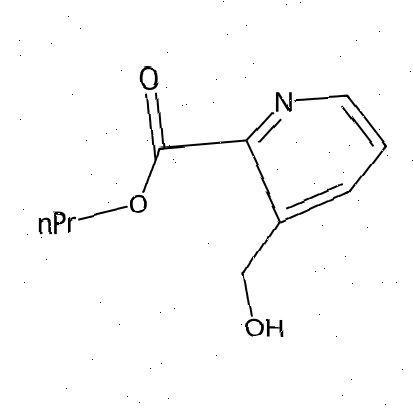 CCCOC(=O)c1ncccc1CO